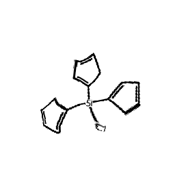 Cl[Si](C1=CC=CC1)(C1=CC=CC1)C1=CC=CC1